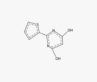 Oc1cc(O)nc(-c2cccs2)n1